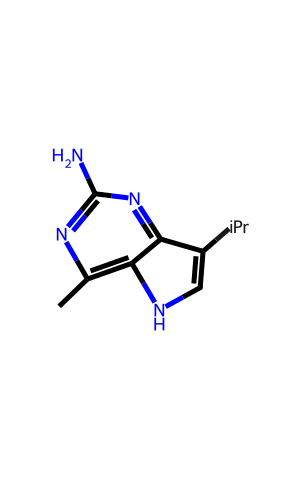 Cc1nc(N)nc2c(C(C)C)c[nH]c12